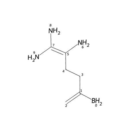 BC(=C)CCC(N)=C(N)N